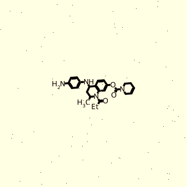 CCC(=O)N1c2cc(OC(=O)N3CC=CCC3)ccc2C(Nc2ccc(N)cc2)CC1C